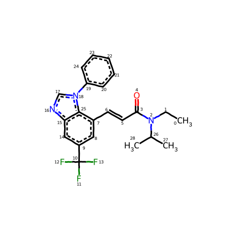 CCN(C(=O)C=Cc1cc(C(F)(F)F)cc2ncn(-c3ccccc3)c12)C(C)C